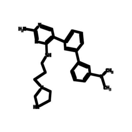 CN(C)c1cccc(-c2cccc(-c3cnc(N)nc3NCCCN3CCNC3)c2)c1